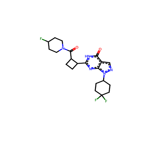 O=C(C1CCC1c1nc2c(cnn2C2CCC(F)(F)CC2)c(=O)[nH]1)N1CCC(F)CC1